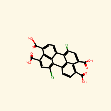 O=C(O)c1ccc2c3c(Cl)cc(C(=O)O)c4c(C(=O)O)ccc(c5c(Cl)cc(C(=O)O)c1c25)c43